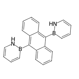 C1=CNB(c2c3ccccc3c(B3C=CC=CN3)c3ccccc23)C=C1